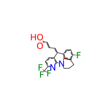 O=C(O)/C=C/C=C(c1ccc(F)cc1)c1ccc(C(F)(F)F)nc1N1CCCCC1